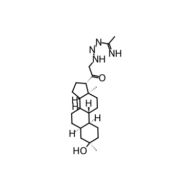 CC(=N)/N=N\NCC(=O)[C@H]1CC[C@H]2[C@@H]3CC[C@@H]4C[C@](C)(O)CC[C@@H]4[C@H]3CC[C@]12C